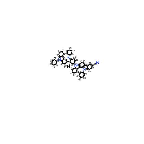 Cc1cc2c(c3ccccc3n2-c2ccccc2)c2c1c1cc(-n3c4ccccc4c4c3ccc3c5cc(C#N)ccc5n(-c5ccccc5)c34)ccc1n2-c1ccccc1